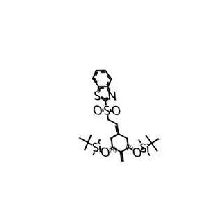 C=C1[C@H](O[Si](C)(C)C(C)(C)C)CC(=CCS(=O)(=O)c2nc3ccccc3s2)C[C@H]1O[Si](C)(C)C(C)(C)C